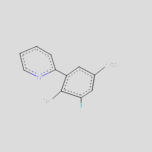 COc1cc(F)c(C#N)c(-c2ccccn2)c1